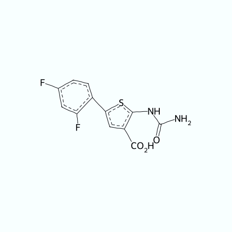 NC(=O)Nc1sc(-c2ccc(F)cc2F)cc1C(=O)O